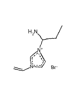 C=Cn1cc[n+](C(N)CC)c1.[Br-]